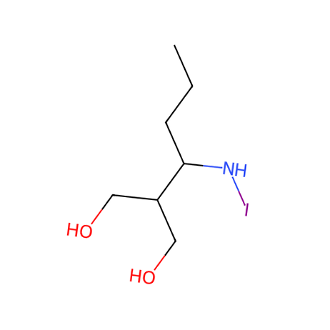 CCCC(NI)C(CO)CO